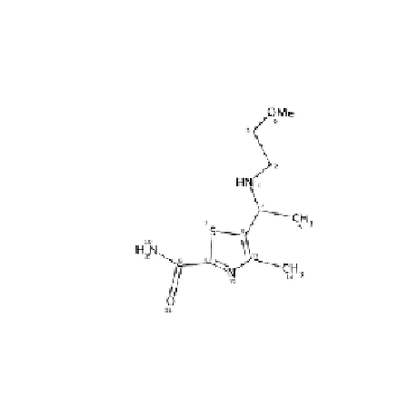 COCCNC(C)c1sc(C(N)=O)nc1C